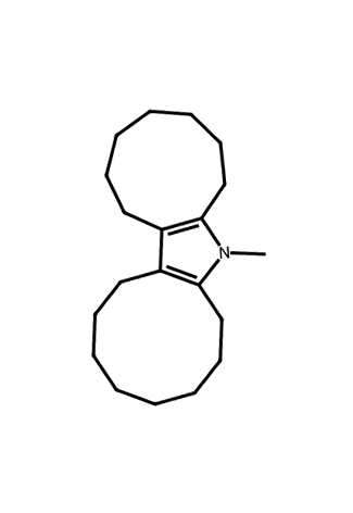 Cn1c2c(c3c1CCCCCCC3)CCCCCCCC2